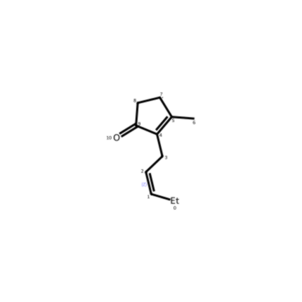 CC/C=C\CC1=C(C)[CH]CC1=O